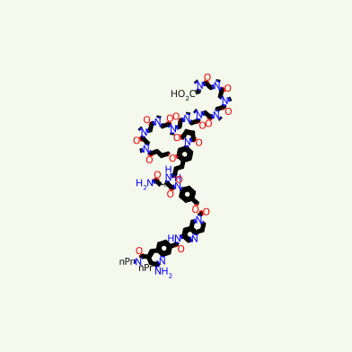 CCCN(CCC)C(=O)C1=Cc2ccc(C(=O)Nc3cnc4c(c3)CN(C(=O)OCc3ccc(NC(=O)[C@H](CC(N)=O)NC(=O)CCc5ccc(N6C(=O)C=CC6=O)cc5OCCCC(=O)N(C)CC(=O)N(C)CC(=O)N(C)CC(=O)N(C)CC(=O)N(C)CC(=O)N(C)CC(=O)N(C)CC(=O)N(C)CC(=O)N(C)CC(=O)N(C)CC(=O)O)cc3)CC4)cc2N=C(N)C1